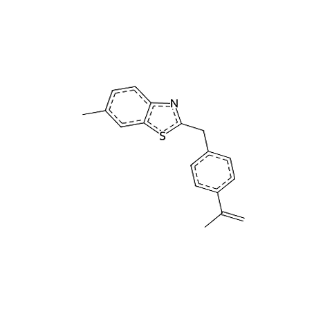 C=C(C)c1ccc(Cc2nc3ccc(C)cc3s2)cc1